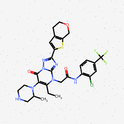 CCc1c(N2CCNCC2C)c(=O)n2nc(-c3cc4c(s3)COCC4)nc2n1CC(=O)Nc1ccc(C(F)(F)F)cc1Cl